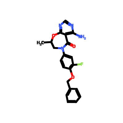 CC1CN(c2ccc(OCc3ccccc3)c(F)c2)C(=O)c2c(N)ncnc2O1